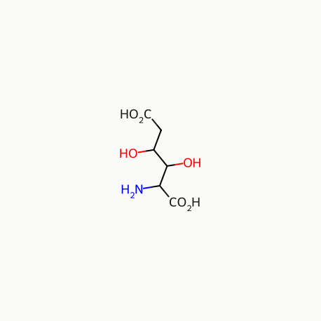 NC(C(=O)O)C(O)C(O)CC(=O)O